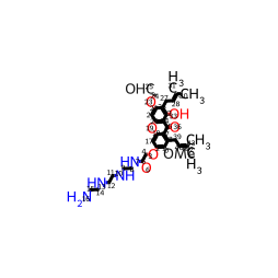 COc1c(OCC(=O)NCCNCCNCCN)cc2oc3cc(OCC=O)c(CC=C(C)C)c(O)c3c(=O)c2c1CC=C(C)C